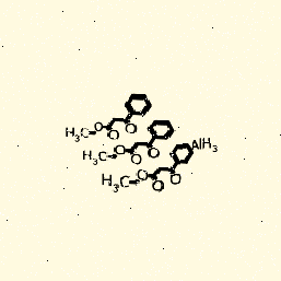 CCOC(=O)CC(=O)c1ccccc1.CCOC(=O)CC(=O)c1ccccc1.CCOC(=O)CC(=O)c1ccccc1.[AlH3]